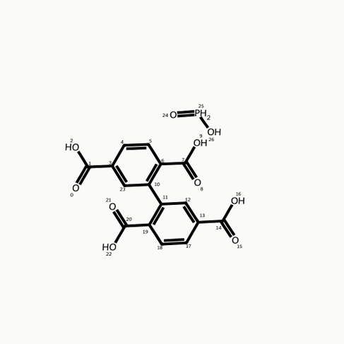 O=C(O)c1ccc(C(=O)O)c(-c2cc(C(=O)O)ccc2C(=O)O)c1.O=[PH2]O